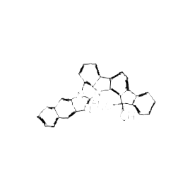 CC1(C)c2ccccc2-c2ccc3c4cccc5c4n(c3c21)c1nc2cc3ccccc3cc2n51